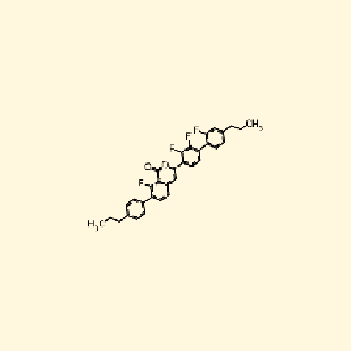 CCCc1ccc(-c2ccc3cc(-c4ccc(-c5ccc(CCC)cc5F)c(F)c4F)oc(=O)c3c2F)cc1